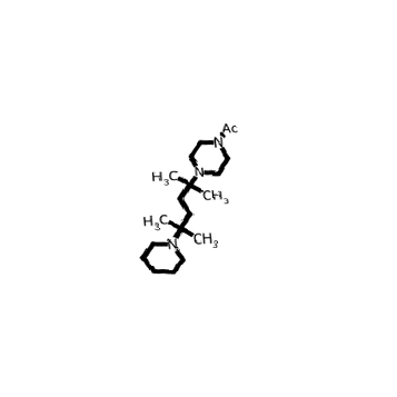 CC(=O)N1CCN(C(C)(C)CCC(C)(C)N2CCCCC2)CC1